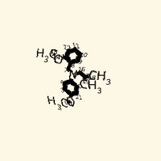 COc1ccc(N(Cc2ccccc2OC)CC(C)C)cc1